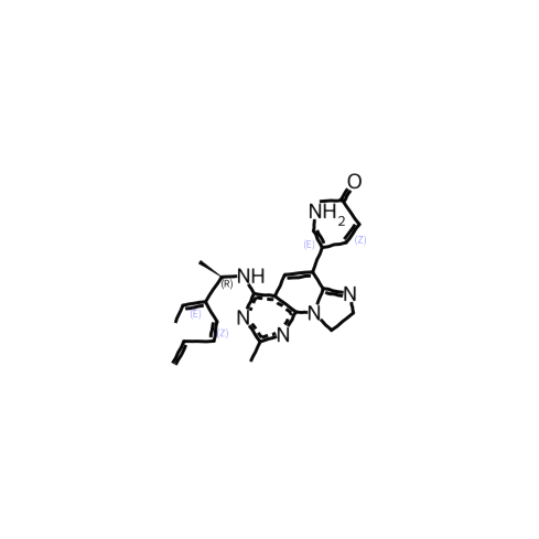 C=C/C=C\C(=C/C)[C@@H](C)Nc1nc(C)nc2c1C=C(C(/C=C\C(C)=O)=C/N)C1=NCCN12